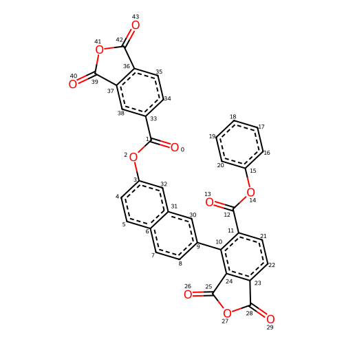 O=C(Oc1ccc2ccc(-c3c(C(=O)Oc4ccccc4)ccc4c3C(=O)OC4=O)cc2c1)c1ccc2c(c1)C(=O)OC2=O